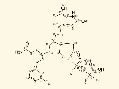 NC(=O)CCN(CCc1cccc(F)c1)CCN(CCc1ccc(O)c2[nH]c(=O)sc12)C1CCCCCC1.O=C(O)C(F)(F)F.O=C(O)C(F)(F)F